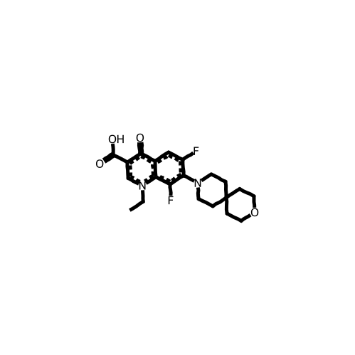 CCn1cc(C(=O)O)c(=O)c2cc(F)c(N3CCC4(CCOCC4)CC3)c(F)c21